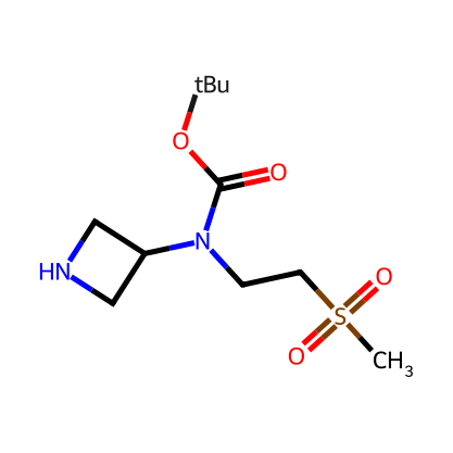 CC(C)(C)OC(=O)N(CCS(C)(=O)=O)C1CNC1